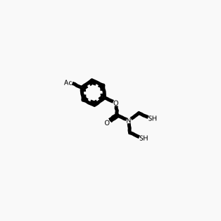 CC(=O)c1ccc(OC(=O)N(CS)CS)cc1